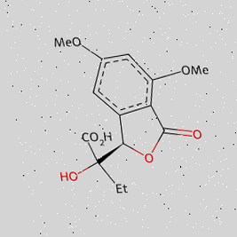 CCC(O)(C(=O)O)[C@@H]1OC(=O)c2c(OC)cc(OC)cc21